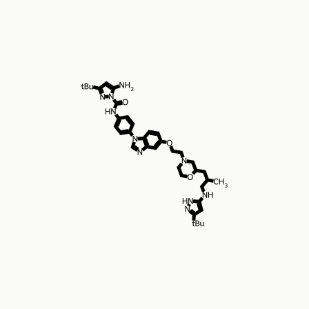 CC(CNc1cc(C(C)(C)C)n[nH]1)CC1CN(CCOc2ccc3c(c2)ncn3-c2ccc(NC(=O)n3nc(C(C)(C)C)cc3N)cc2)CCO1